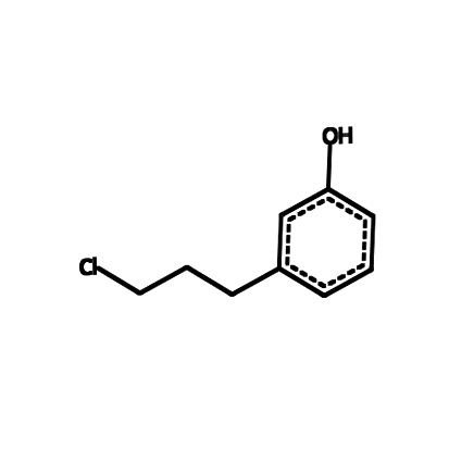 Oc1cccc(CCCCl)c1